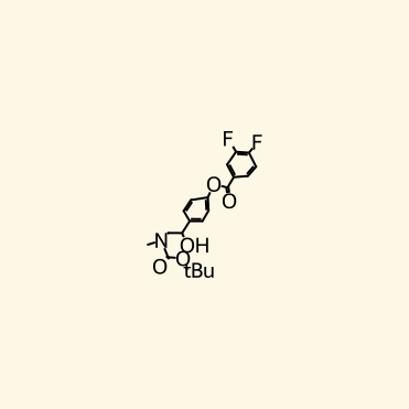 CN(CC(O)c1ccc(OC(=O)c2ccc(F)c(F)c2)cc1)C(=O)OC(C)(C)C